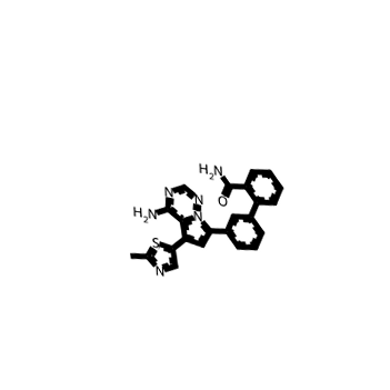 Cc1ncc(-c2cc(-c3cccc(-c4ccccc4C(N)=O)c3)n3ncnc(N)c23)s1